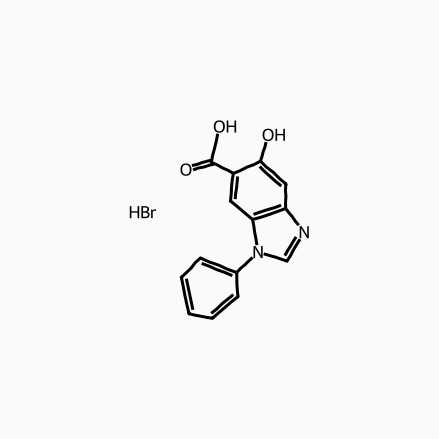 Br.O=C(O)c1cc2c(cc1O)ncn2-c1ccccc1